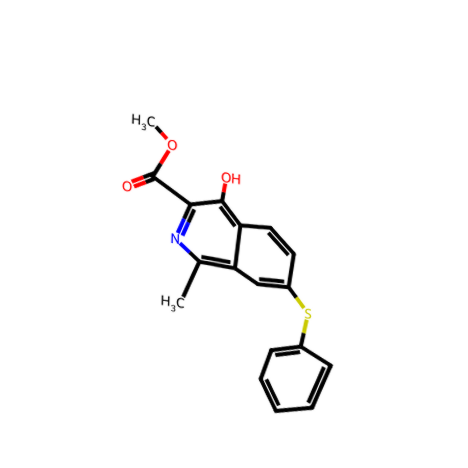 COC(=O)c1nc(C)c2cc(Sc3ccccc3)ccc2c1O